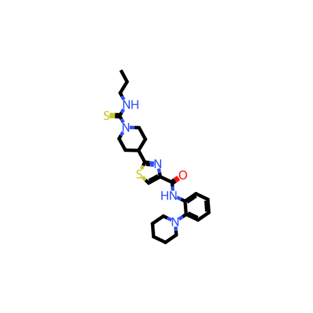 CCCNC(=S)N1CCC(c2nc(C(=O)Nc3ccccc3N3CCCCC3)cs2)CC1